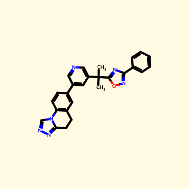 CC(C)(c1cncc(-c2ccc3c(c2)CCc2nncn2-3)c1)c1nc(-c2ccccc2)no1